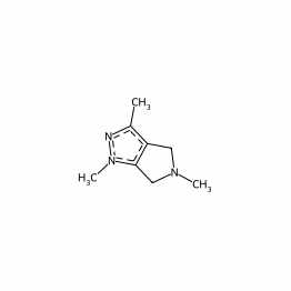 Cc1nn(C)c2c1CN(C)C2